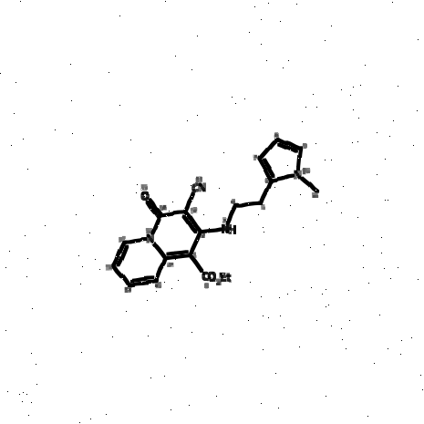 CCOC(=O)c1c(NCCc2cccn2C)c(C#N)c(=O)n2ccccc12